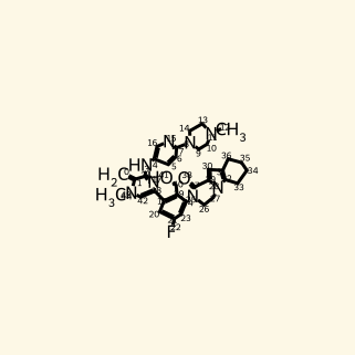 C=C1C(Nc2ccc(N3CCN(C)CC3)nc2)=NC(c2cc(F)cc(N3CCn4c(cc5c4CCCC5)C3=O)c2CO)=CN1C